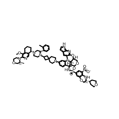 COc1c(N2CCOC[C@@H]2C)ncc2c1CCC[C@@H]2N1CCN(C2CC3(CCN(c4ccc(C(=O)NS(=O)(=O)c5cc6c(c([N+](=O)[O-])c5)N[C@H](C5CCOCC5)CO6)c(N5c6cc7cc[nH]c7nc6O[C@H]6COCC[C@@H]65)c4)CC3)C2)[C@H](c2ccccc2C)C1